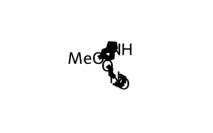 COc1cc2cc[nH]c2cc1OCCN1CCOCC1